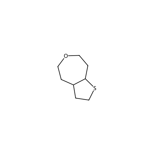 C1CC2CCSC2CCO1